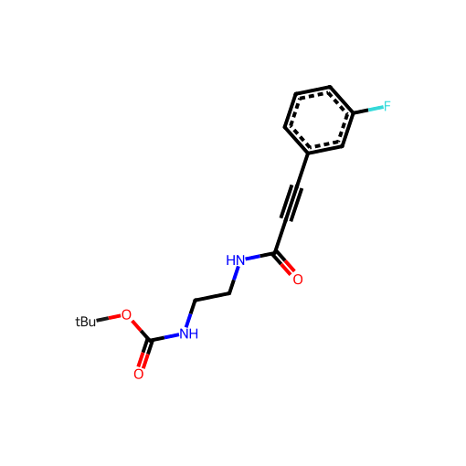 CC(C)(C)OC(=O)NCCNC(=O)C#Cc1cccc(F)c1